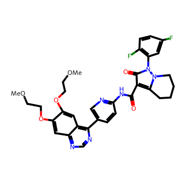 COCCOc1cc2ncnc(-c3ccc(NC(=O)c4c5n(n(-c6cc(F)ccc6F)c4=O)CCCC5)nc3)c2cc1OCCOC